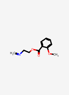 C=NCCOC(=O)c1ccccc1OC